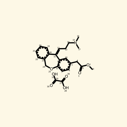 COC(=O)Cc1ccc2c(c1)/C(=C\CCN(C)C)c1ccccc1CO2.O=C(O)C(=O)O